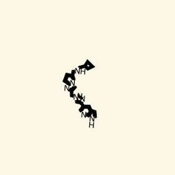 c1cc2cc(-c3cn(Cc4cn5cc(CNCC6CCC6)ccc5n4)nn3)cnc2[nH]1